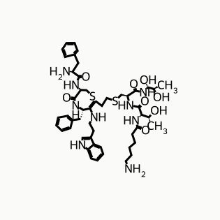 C[C@@H](O)[C@H](NC(=O)CCCCCN)C(=O)N[C@@H](CSCC/C1=C(\NCCc2c[nH]c3ccccc23)[C@H](Cc2ccccc2)NC(=O)[C@@H](NC(=O)[C@H](N)Cc2ccccc2)CS1)C(=O)N[C@H](O)[C@@H](C)O